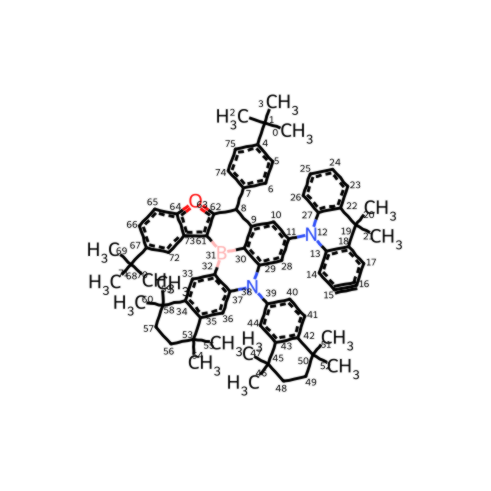 CC(C)(C)c1ccc(C2c3cc(N4c5cc#ccc5C(C)(C)c5ccccc54)cc4c3B(c3cc5c(cc3N4c3ccc4c(c3)C(C)(C)CCC4(C)C)C(C)(C)CCC5(C)C)c3c2oc2ccc(C(C)(C)C)cc32)cc1